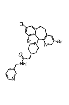 O=C(CC1CCN(C2c3ncc(Br)cc3CCc3cc(Cl)cc(Br)c32)CC1)NCc1cccnc1